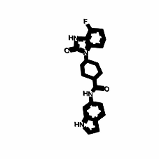 O=C(Nc1ccc2cc[nH]c2c1)C1CCC(n2c(=O)[nH]c3c(F)cccc32)CC1